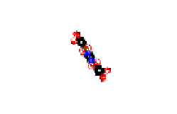 COc1ccc(S(=O)(=O)N2CCN(S(=O)(=O)c3ccc(OC)c(OC)c3)[C@@H](C)C2)cc1OC